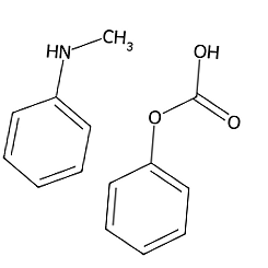 CNc1ccccc1.O=C(O)Oc1ccccc1